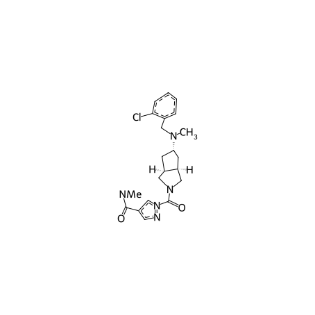 CNC(=O)c1cnn(C(=O)N2C[C@H]3C[C@H](N(C)Cc4ccccc4Cl)C[C@H]3C2)c1